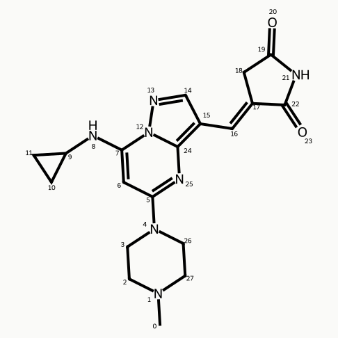 CN1CCN(c2cc(NC3CC3)n3ncc(/C=C4\CC(=O)NC4=O)c3n2)CC1